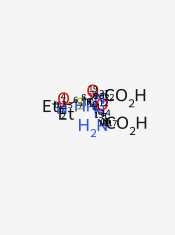 CCN(CC)C(=O)CCSC[C@H](NC(=O)CC[C@H](N)C(=O)O)C(=O)NCC(=O)O